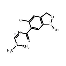 CN(C)/C=N\C(=O)c1cc2c(cc1Cl)COB2O